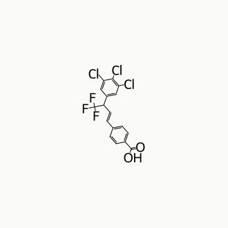 O=C(O)c1ccc(C=CC(c2cc(Cl)c(Cl)c(Cl)c2)C(F)(F)F)cc1